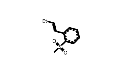 CC/C=C/c1ccccc1S(C)(=O)=O